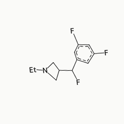 CCN1CC(C(F)c2cc(F)cc(F)c2)C1